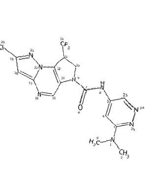 CN(C)c1cc(NC(=O)N2CC(C(F)(F)F)c3c2cnc2cc(Cl)nn32)cnn1